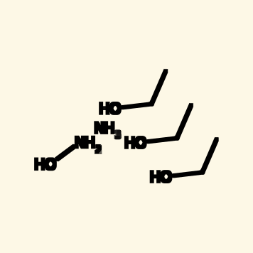 CCO.CCO.CCO.N.NO